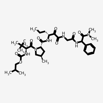 CCC[C@@H](NC(=O)[C@@H]1C[C@@H](C)CN1C(=O)[C@@H](NC(=O)OCC(C)C)C(C)(C)C)C(=O)C(=O)NCC(=O)NC(C(=O)N(C)C)c1ccccc1